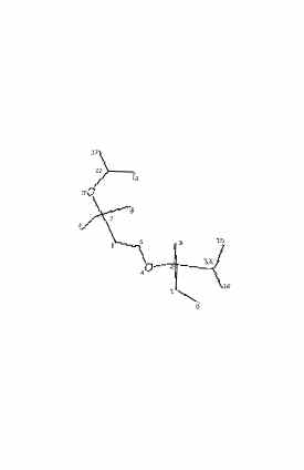 CCC(C)(OCCC(C)(C)OC(C)C)C(C)C